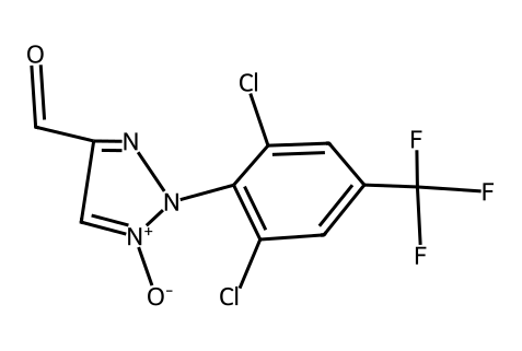 O=Cc1c[n+]([O-])n(-c2c(Cl)cc(C(F)(F)F)cc2Cl)n1